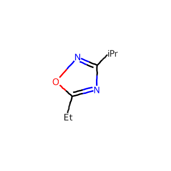 CCc1nc(C(C)C)no1